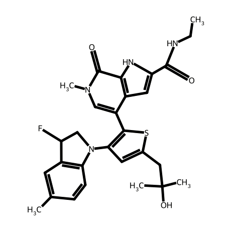 CCNC(=O)c1cc2c(-c3sc(CC(C)(C)O)cc3N3CC(F)c4cc(C)ccc43)cn(C)c(=O)c2[nH]1